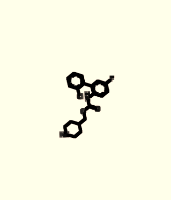 O=C(Nc1ccc(F)cc1-c1ccccc1Cl)OCC1CCNCC1